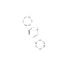 C1=CC2OC2(Nc2ccccc2)C2=C1c1ccccc12